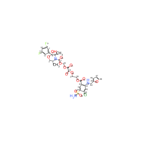 C[C@@H]1CO[C@@](O)(c2cc(F)cc(F)c2)[C@H](C)N1C(=O)OCOC(=O)C(=O)OCCOC(=O)c1cc(S(N)(=O)=O)c(Cl)cc1NCc1ccco1